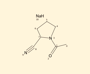 CC(=O)N1CCCC1C#N.[NaH]